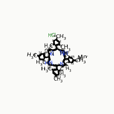 Cc1cc(C)c(-c2c3nc(c(-c4c(C)cc(C)cc4C)c4ccc([nH]4)c(-c4c(C)cc(C)cc4C)c4nc(c(-c5c(C)cc(C)cc5C)c5ccc2[nH]5)C=C4)C=C3)c(C)c1.Cl.[Mn]